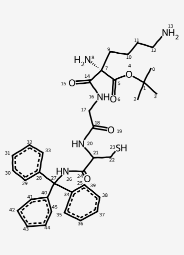 CC(C)(C)OC(=O)[C@](N)(CCCCN)C(=O)NCC(=O)NC(CS)C(=O)NC(c1ccccc1)(c1ccccc1)c1ccccc1